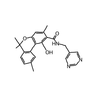 Cc1ccc2c(c1)-c1c(cc(C)c(C(=O)NCc3cncnc3)c1O)OC2(C)C